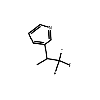 CC(c1cccnc1)C(F)(F)F